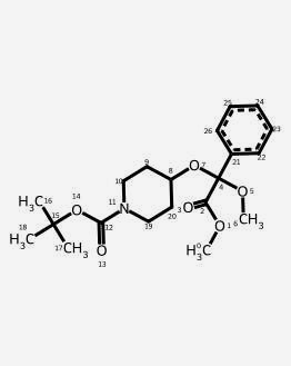 COC(=O)C(OC)(OC1CCN(C(=O)OC(C)(C)C)CC1)c1ccccc1